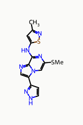 CSc1cn2c(-c3cc[nH]n3)cnc2c(Nc2cc(C)ns2)n1